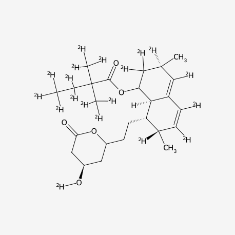 [2H]O[C@H]1CC(=O)OC(CC[C@@H]2[C@@H]3C(=C([2H])[C@]([2H])(C)C([2H])([2H])C3OC(=O)C(C([2H])([2H])[2H])(C([2H])([2H])[2H])C([2H])([2H])C([2H])([2H])[2H])C([2H])=C([2H])[C@]2([2H])C)C1